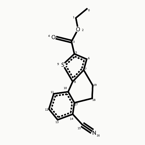 CCOC(=O)c1cc2c(s1)-c1cccc(C#N)c1CC2